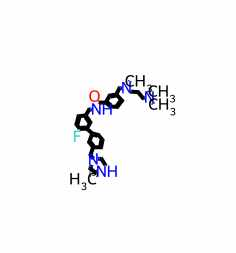 C[C@H]1CN(Cc2cccc(-c3cc(CNC(=O)c4cccc(CN(C)CCCN(C)C)c4)ccc3F)c2)CCN1